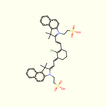 CC1(C)C(/C=C/C2=C(Cl)C(=C/C=C3/N(CCS(=O)(=O)O)c4ccc5ccccc5c4C3(C)C)/CCC2)=[N+](CCS(=O)(=O)O)c2ccc3ccccc3c21